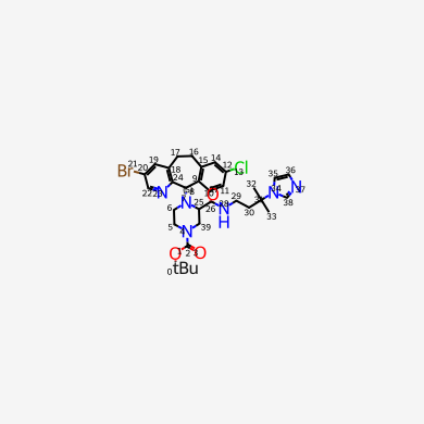 CC(C)(C)OC(=O)N1CCN([C@H]2c3ccc(Cl)cc3CCc3cc(Br)cnc32)C(C(=O)NCCC(C)(C)n2ccnc2)C1